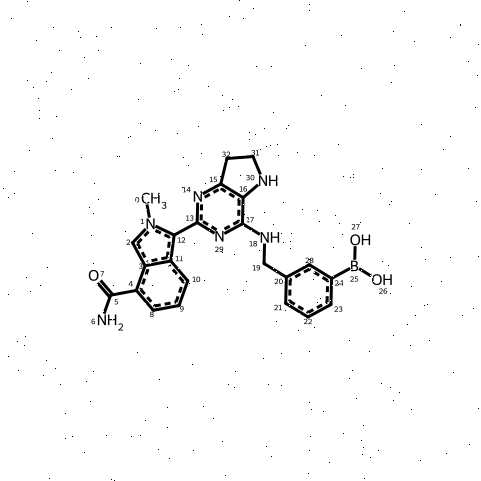 Cn1cc2c(C(N)=O)cccc2c1-c1nc2c(c(NCc3cccc(B(O)O)c3)n1)NCC2